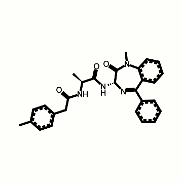 Cc1ccc(CC(=O)N[C@@H](C)C(=O)N[C@H]2N=C(c3ccccc3)c3ccccc3N(C)C2=O)cc1